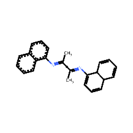 CC(=N\C1=CC=CC2C=CC=CC12)/C(C)=N/c1cccc2ccccc12